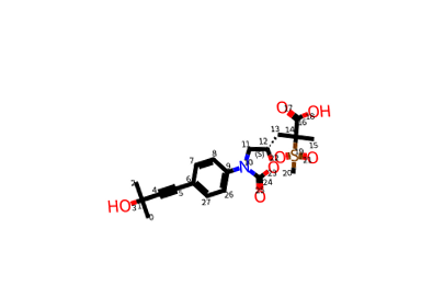 CC(C)(O)C#Cc1ccc(N2C[C@H](CC(C)(C(=O)O)S(C)(=O)=O)OC2=O)cc1